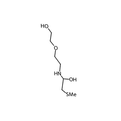 CSCC(O)NCCOCCO